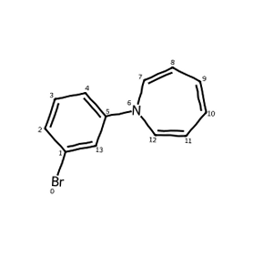 Brc1cccc(N2C=CC=CC=C2)c1